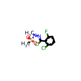 CN(N=C(Cl)c1c(F)cccc1Cl)S(C)(=O)=O